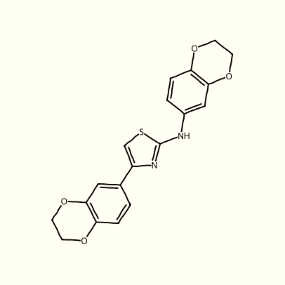 c1cc2c(cc1Nc1nc(-c3ccc4c(c3)OCCO4)cs1)OCCO2